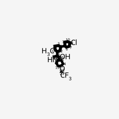 Cc1ccc(-c2ccc(Cl)cc2)cc1C1=C(O)C2(CCC(OCC(F)(F)F)CC2)NC1